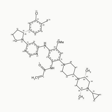 C=CC(=O)Nc1cc(Nc2cc(N3OCC[C@@H]3c3ccc(F)c(Cl)c3)ncn2)c(OC)cc1N1CCC(N2C[C@@H](C)N(C3CC3)C[C@H]2C)CC1